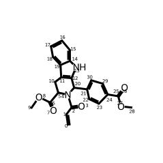 C=CC(=O)N1C(C(=O)OC)Cc2c([nH]c3ccccc23)C1c1ccc(C(=O)OC)cc1